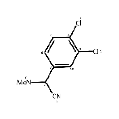 CNC(C#N)c1ccc(Cl)c(Cl)c1